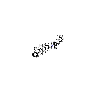 O=C(/C=C/c1cccc(Cc2nc(-c3ccccc3)c(Cl)[nH]2)c1)NOC1CCCCO1